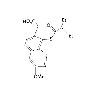 CCN(CC)C(=O)Sc1c(CC(=O)O)ccc2cc(OC)ccc12